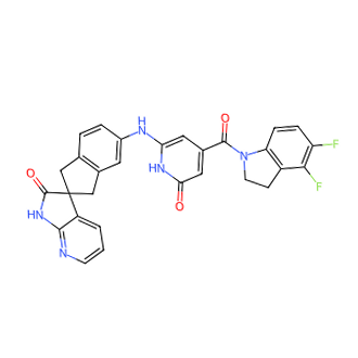 O=C(c1cc(Nc2ccc3c(c2)CC2(C3)C(=O)Nc3ncccc32)[nH]c(=O)c1)N1CCc2c1ccc(F)c2F